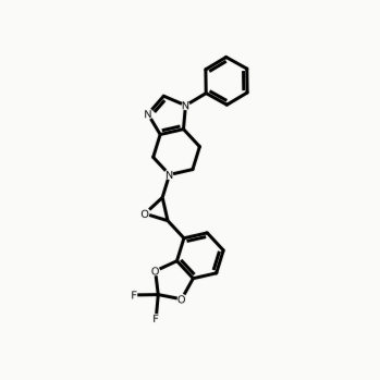 FC1(F)Oc2cccc(C3OC3N3CCc4c(ncn4-c4ccccc4)C3)c2O1